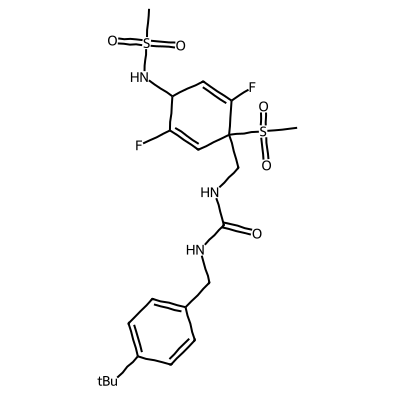 CC(C)(C)c1ccc(CNC(=O)NCC2(S(C)(=O)=O)C=C(F)C(NS(C)(=O)=O)C=C2F)cc1